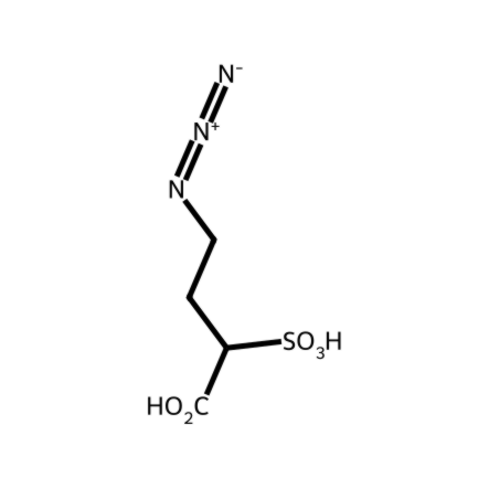 [N-]=[N+]=NCCC(C(=O)O)S(=O)(=O)O